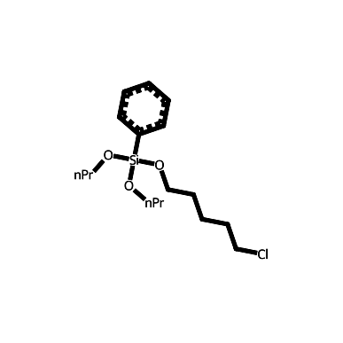 CCCO[Si](OCCC)(OCCCCCCl)c1ccccc1